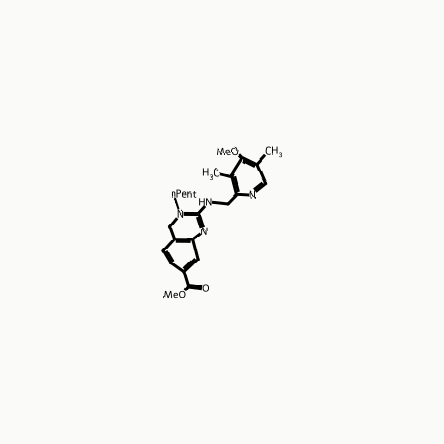 CCCCCN1Cc2ccc(C(=O)OC)cc2N=C1NCc1ncc(C)c(OC)c1C